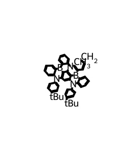 C=C/C=C\C1=C(C)N2c3ccccc3B3c4ccccc4N(c4ccc(C(C)(C)C)cc4)c4cc5c(c2c43)B1c1ccccc1N5c1ccc(C(C)(C)C)cc1